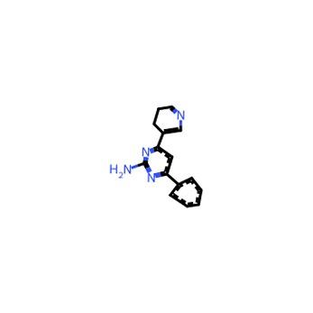 Nc1nc(C2=CN=CCC2)cc(-c2ccccc2)n1